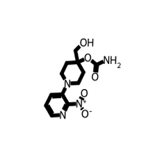 NC(=O)OC1(CO)CCN(c2cccnc2[N+](=O)[O-])CC1